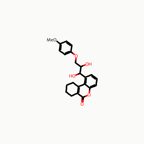 COc1ccc(OCC(O)C(O)c2cccc3oc(=O)c4c(c23)CCCC4)cc1